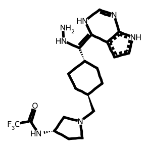 NN/C(=C1\NC=Nc2[nH]ccc21)[C@H]1CC[C@H](CN2CC[C@H](NC(=O)C(F)(F)F)C2)CC1